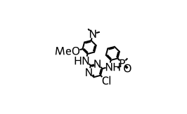 COc1cc(N(C)C)ccc1Nc1ncc(Cl)c(Nc2ccccc2P(C)(C)=O)n1